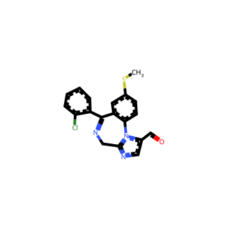 CSc1ccc2c(c1)C(c1ccccc1Cl)=NCc1ncc(C=O)n1-2